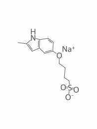 Cc1cc2cc(OCCCCS(=O)(=O)[O-])ccc2[nH]1.[Na+]